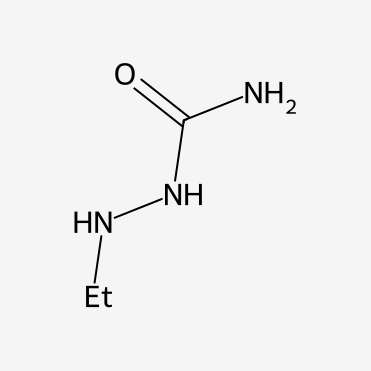 [CH2]CNNC(N)=O